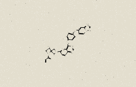 C=CC(=O)N1CCC12CN(c1ccc3ncnc(Nc4ccc(Oc5ccn6ncnc6c5)cc4)c3n1)C2